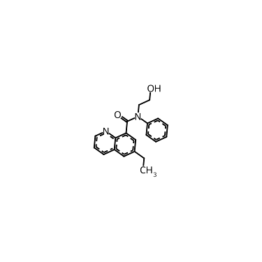 CCc1cc(C(=O)N(CCO)c2ccccc2)c2ncccc2c1